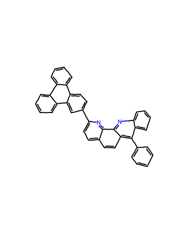 c1ccc(-c2c3ccccc3nc3c2ccc2ccc(-c4ccc5c6ccccc6c6ccccc6c5c4)nc23)cc1